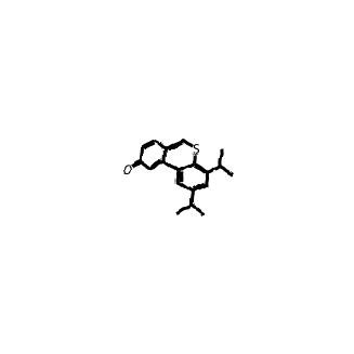 CC(C)c1cc(C(C)C)c2scc3ccc(=O)cc-3c2c1